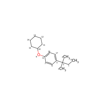 CCC(C)(C)c1ccc(OC2CCCCC2)cc1